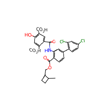 CC1CCC1COC(=O)c1ccc(-c2ccc(Cl)cc2Cl)cc1NC(=O)c1cc(C(=O)O)c(O)cc1C(=O)O